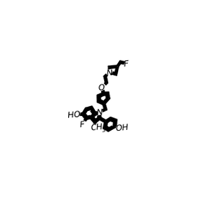 Cc1c(-c2ccc(O)cc2)n(Cc2ccc(OCCN3CC(CF)C3)cc2)c2ccc(O)c(F)c12